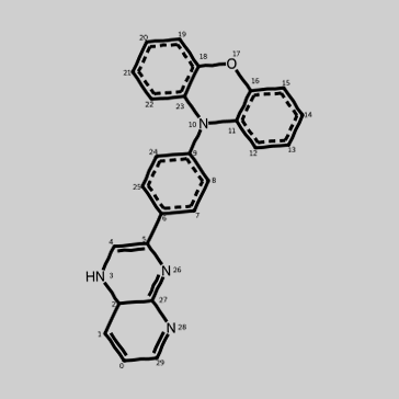 C1=CC2NC=C(c3ccc(N4c5ccccc5Oc5ccccc54)cc3)N=C2N=C1